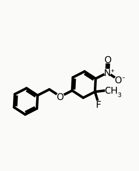 CC1(F)CC(OCc2ccccc2)=CC=C1[N+](=O)[O-]